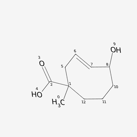 CC1(C(=O)O)C/C=C/C(O)CCC1